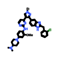 CCn1cc(-c2ccnc(Nc3ccc(N4CCC(N(C)C)CC4)cc3OC)n2)c(-c2ccc3[nH]c(Cc4ccccc4Cl)nc3c2)n1